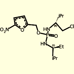 CC[C@H](NP(=O)(N[C@@H](CCl)C(C)C)OCc1ccc([N+](=O)[O-])o1)C(C)C